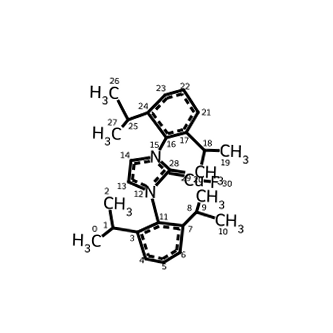 CC(C)c1cccc(C(C)C)c1-n1ccn(-c2c(C(C)C)cccc2C(C)C)[c]1=[Cu][F]